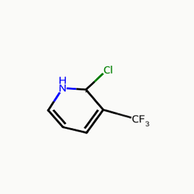 FC(F)(F)C1=CC=CN[C]1Cl